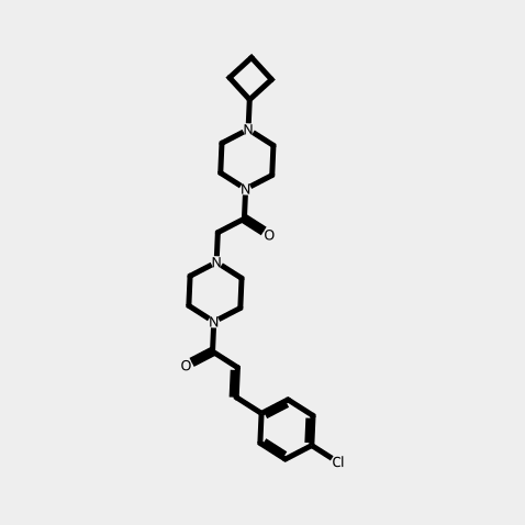 O=C(C=Cc1ccc(Cl)cc1)N1CCN(CC(=O)N2CCN(C3CCC3)CC2)CC1